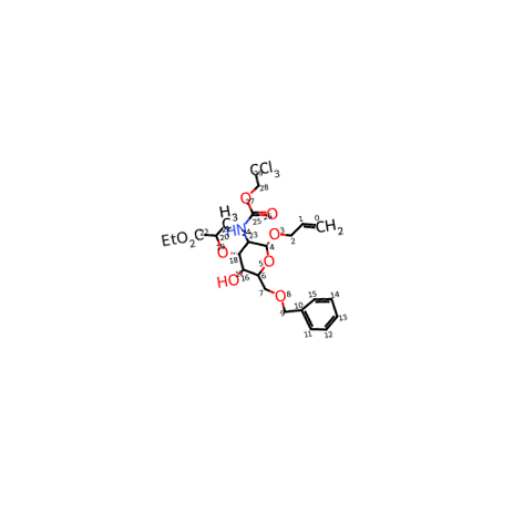 C=CCO[C@@H]1OC(COCc2ccccc2)[C@@H](O)[C@H](OC(C)C(=O)OCC)C1NC(=O)OCC(Cl)(Cl)Cl